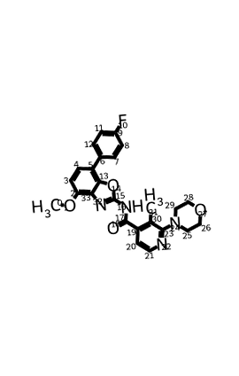 COc1ccc(-c2ccc(F)cc2)c2oc(NC(=O)c3ccnc(N4CCOCC4)c3C)nc12